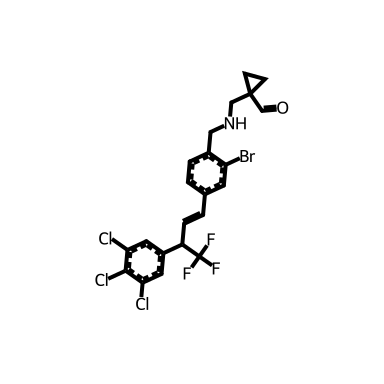 O=CC1(CNCc2ccc(/C=C/C(c3cc(Cl)c(Cl)c(Cl)c3)C(F)(F)F)cc2Br)CC1